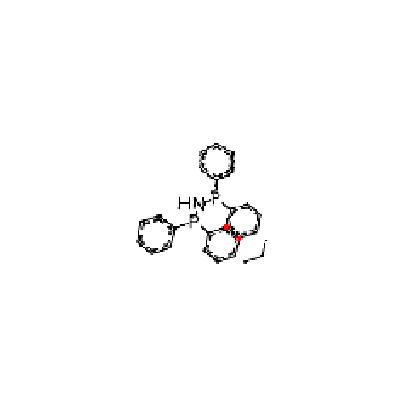 CCC.c1ccc(P(NP(c2ccccc2)c2ccccc2)c2ccccc2)cc1